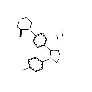 NC=O.NC=O.O=C1COCCN1c1ccc(C2CSCN2c2ccc(Cl)cc2)cc1